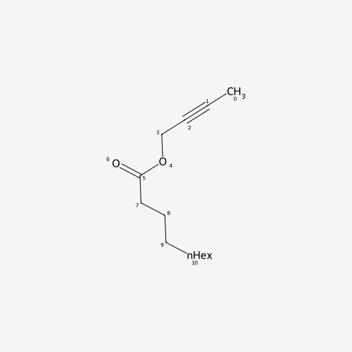 CC#CCOC(=O)CCCCCCCCC